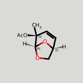 CC(=O)O[C@@]1(C)C=C[C@H]2CO[C@@H]1O2